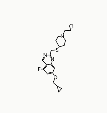 Fc1cc(OCC2CC2)cc2nc(CSC3CCN(CCCl)CC3)ncc12